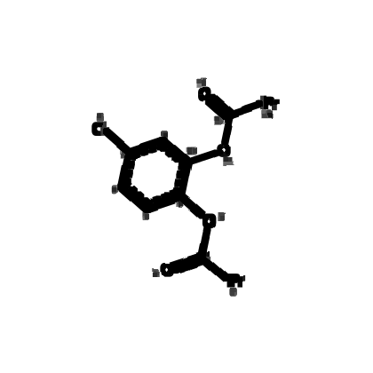 CC(C)C(=O)Oc1ccc(Cl)cc1OC(=O)C(C)C